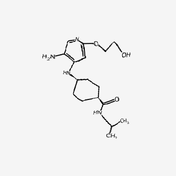 CC(C)NC(=O)[C@H]1CC[C@@H](Nc2cc(OCCO)ncc2N)CC1